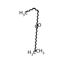 CCCCC/C=C\C/C=C\CCCCCCCC(=O)OCCCCCCCCCCCCCCC(C)C